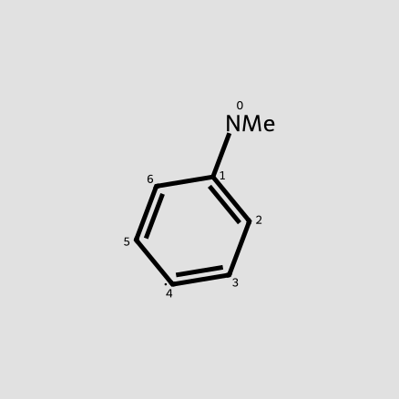 CNc1cc[c]cc1